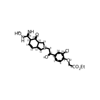 CCOC(=O)COc1ccc(C(=O)CN2C=C3C=CC(C(=N)NO)C(=O)C3C2)cc1Cl